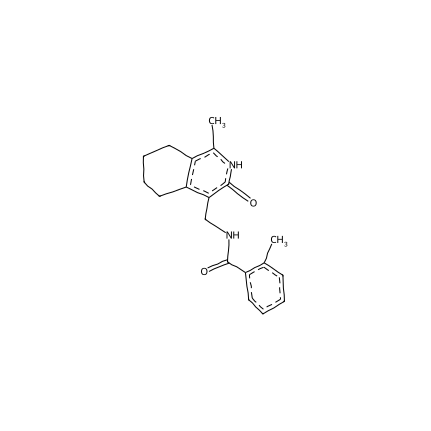 Cc1ccccc1C(=O)NCc1c2c(c(C)[nH]c1=O)CCCC2